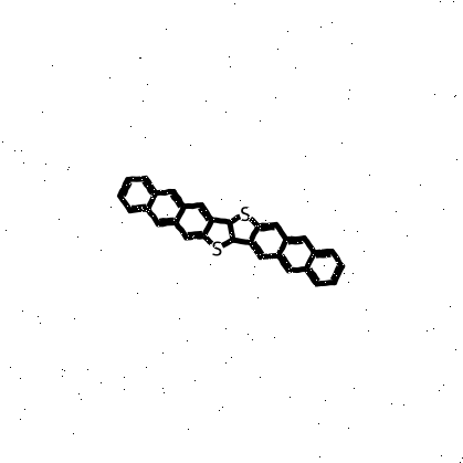 c1ccc2cc3cc4c(cc3cc2c1)SC1c2cc3cc5ccccc5cc3cc2SC41